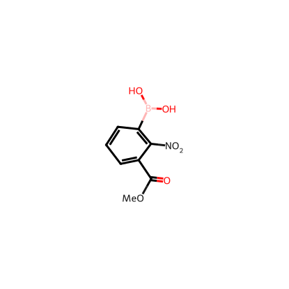 COC(=O)c1cccc(B(O)O)c1[N+](=O)[O-]